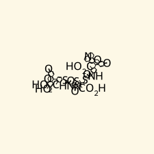 O=C(CSCC1=C(C(=O)O)N2C(=O)C(NC(=O)CSc3ccc(-c4c5ccc(=O)cc-5oc5cc(O)ccc45)c(C(=O)O)c3)C2SC1)Nc1ccc(-c2c3ccc(=O)cc-3oc3c4c5c(cc23)CCCN5CCC4)c(C(=O)O)c1